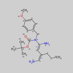 CCCC(=C/N)/C=C(\N)N(Cc1ccc(OC)cc1)C(=O)OC(C)(C)C